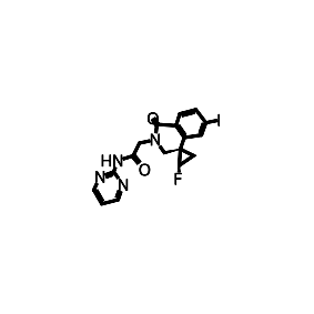 O=C(CN1C[C@]2(C[C@H]2F)c2cc(I)ccc2C1=O)Nc1ncccn1